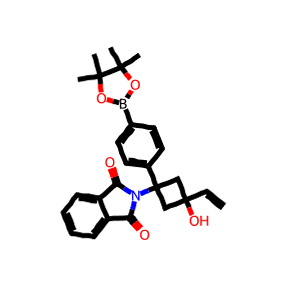 C=CC1(O)CC(c2ccc(B3OC(C)(C)C(C)(C)O3)cc2)(N2C(=O)c3ccccc3C2=O)C1